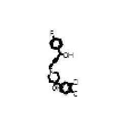 OC(C#CCN1CCC(O)(c2ccc(Cl)c(Cl)c2)CC1)c1ccc(F)cc1